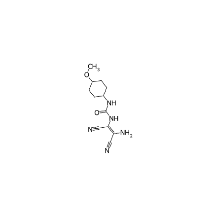 COC1CCC(NC(=O)N/C(C#N)=C(\N)C#N)CC1